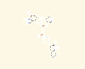 Cc1cc(Cl)c2[nH]ncc2c1CN(Cc1ccncc1)C(=O)CCC(=O)N1CCC(c2cc3cccc(F)c3[nH]c2=O)CC1